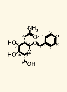 NC(=O)C[C@@H]1[C@@H](OCc2ccccc2)O[C@H](CO)[C@H](O)[C@@H]1O